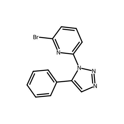 Brc1cccc(-n2nncc2-c2ccccc2)n1